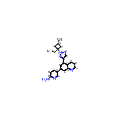 N#CC[C@]1(n2ncc(-c3cc(-c4ccc(N)nc4)cc4ncccc34)n2)C[C@H](C#N)C1